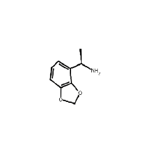 C[C@@H](N)c1cccc2c1OCO2